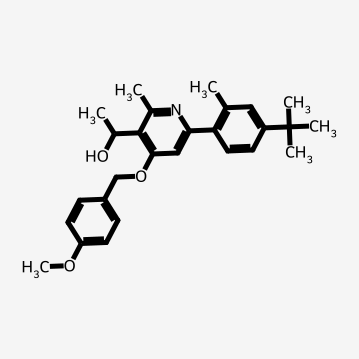 COc1ccc(COc2cc(-c3ccc(C(C)(C)C)cc3C)nc(C)c2C(C)O)cc1